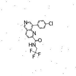 O=C(NCC(F)(F)F)c1ccc2cncc(-c3ccc(Cl)cc3)c2n1